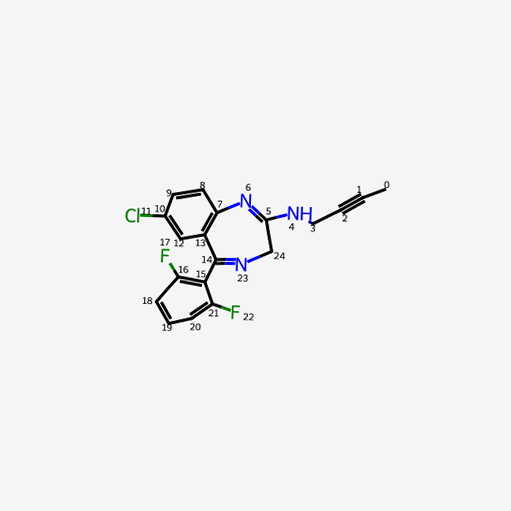 CC#CCNC1=Nc2ccc(Cl)cc2C(c2c(F)cccc2F)=NC1